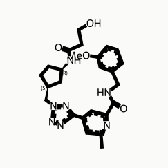 COc1cccc(CNC(=O)c2cc(-c3nnn(C[C@H]4CC[C@@H](NC(=O)CCO)C4)n3)cc(C)n2)c1